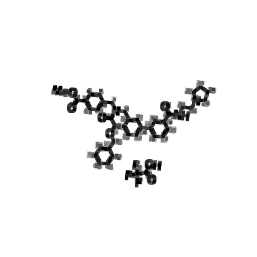 COC(=O)c1ccc(CN(Cc2cccc(-c3cccc(C(=O)NCCN4CCCC4)c3)c2)C(=O)COCc2ccccc2)cc1.O=C(O)C(F)(F)F